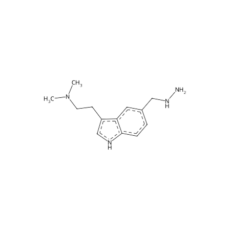 CN(C)CCc1c[nH]c2ccc(CNN)cc12